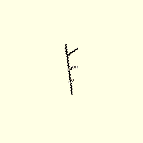 CCCCCCCCCOC(=O)CCCCCCCN(CCO)CCCCCCCCCC(CCCCCCCC)CCCCCCCC